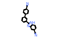 N#Cc1ccc(-c2cccc(-c3nc4cc(C#N)ccc4[nH]3)c2)cc1